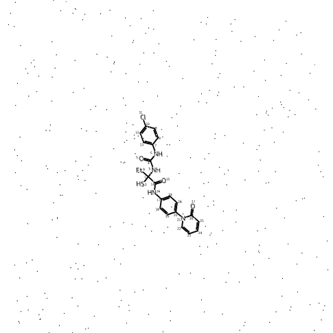 CCC(S)(NC(=O)Nc1ccc(Cl)cc1)C(=O)Nc1ccc(-n2ccccc2=O)cc1